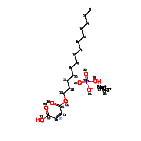 CCCCCCCCCCCCCCOC(=O)/C=C\C(=O)O.O=P([O-])([O-])O.[Na+].[Na+]